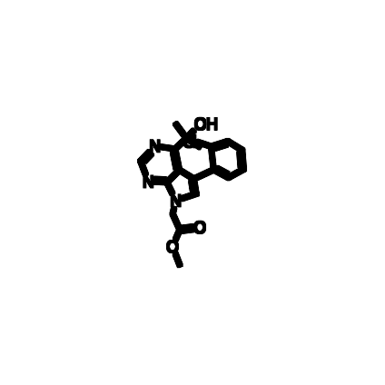 COC(=O)Cn1cc(-c2ccccc2Cl)c2c(C(C)(C)O)ncnc21